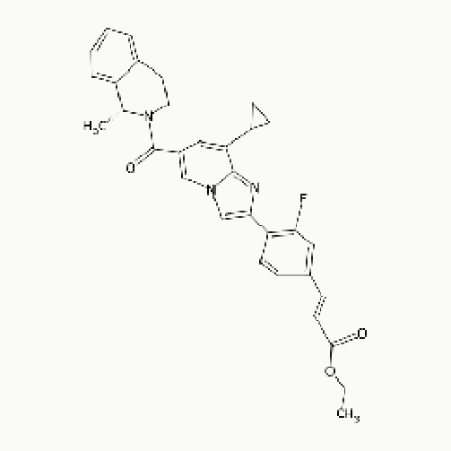 CCOC(=O)/C=C/c1ccc(-c2cn3cc(C(=O)N4CCc5ccccc5[C@H]4C)cc(C4CC4)c3n2)c(F)c1